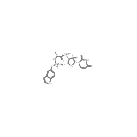 C=C1NC(=O)C=CN1[C@@H]1O[C@H](COP(=O)(N[C@@H](C)C(=O)OC(C)C)Oc2ccc3[nH]ccc3c2)[C@@H](O)[C@@]1(C)F